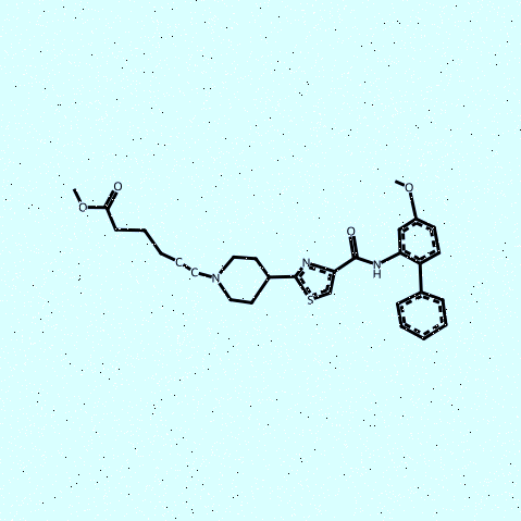 COC(=O)CCCCCN1CCC(c2nc(C(=O)Nc3cc(OC)ccc3-c3ccccc3)cs2)CC1